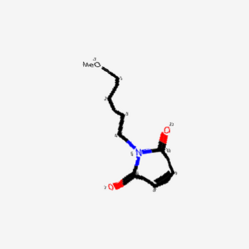 COCCCCN1C(=O)C=CC1=O